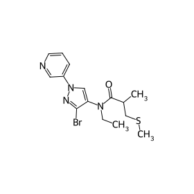 CCN(C(=O)C(C)CSC)c1cn(-c2cccnc2)nc1Br